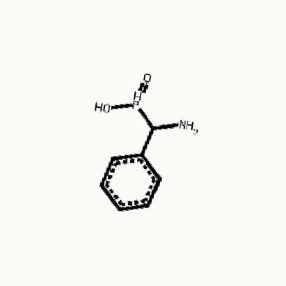 NC(c1ccccc1)[PH](=O)O